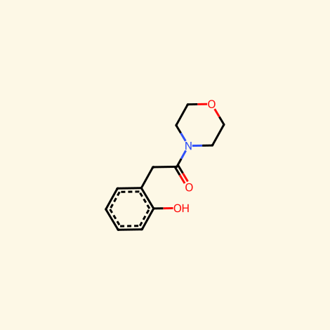 O=C(Cc1ccccc1O)N1CCOCC1